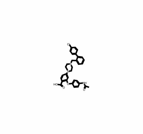 CC(=O)Nc1ccc(Oc2cc(N3CCN(Cc4ccccc4-c4ccc(Cl)cc4)CC3)ccc2C(=O)O)cc1